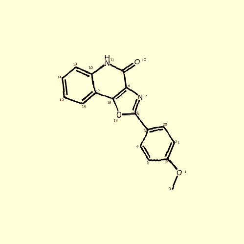 COc1ccc(-c2nc3c(=O)[nH]c4ccccc4c3o2)cc1